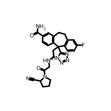 N#CC1CCCN1C(=O)CNCCC1(c2nnn[nH]2)c2ccc(F)cc2CCc2cc(C(N)=O)ccc21